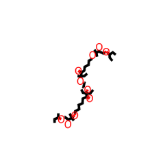 CCC(C)OCC(=O)C(C)(C)OCCCCCC(=O)C(CC)(CC)OCCOC(C)(CC)C(=O)CCCCCOC(C)(C)C(=O)COC(CC)CC